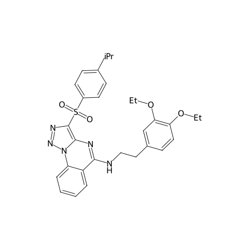 CCOc1ccc(CCNc2nc3c(S(=O)(=O)c4ccc(C(C)C)cc4)nnn3c3ccccc23)cc1OCC